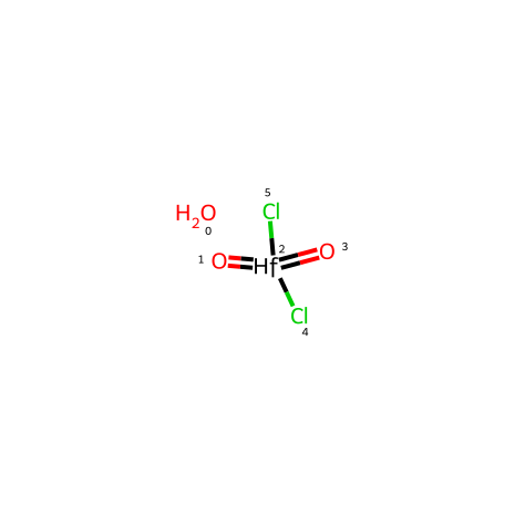 O.[O]=[Hf](=[O])([Cl])[Cl]